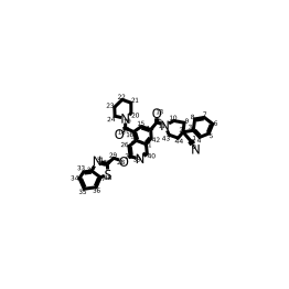 N#CC1(c2ccccc2)CCN(C(=O)c2cc(C(=O)N3CCCCC3)c3cc(OCc4nc5ccccc5s4)ncc3c2)CC1